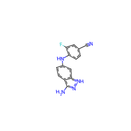 N#Cc1ccc(Nc2ccc3c(N)n[nH]c3c2)c(F)c1